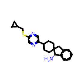 N[C@H]1c2ccccc2CC12CCC(c1cnc(SCC3CC3)cn1)CC2